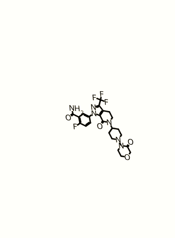 NC(=O)c1cc(-n2nc(C(F)(F)F)c3c2C(=O)N(C2CCN(N4CCOCC4=O)CC2)CC3)ccc1F